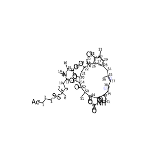 CC(=O)CCCSSC(C)(C)CCC(=O)N(C)C(C)C(=O)OC1CC(=O)N(C)c2cc(cc(C)c2Cl)C/C(C)=C/C=C/C(C)C2(O)CC(OC(=O)N2)C(C)C2OC12C